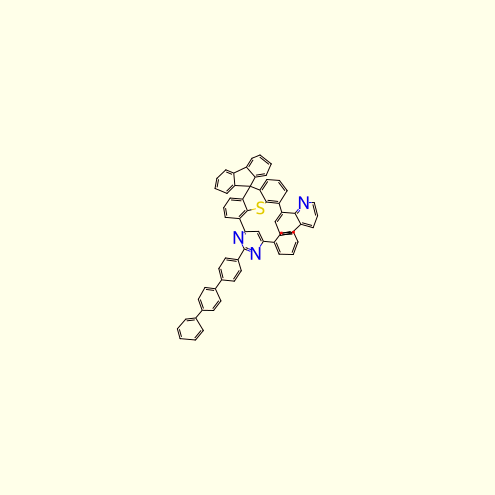 c1ccc(-c2ccc(-c3ccc(-c4nc(-c5ccccc5)cc(-c5cccc6c5Sc5c(-c7cccc8cccnc78)cccc5C65c6ccccc6-c6ccccc65)n4)cc3)cc2)cc1